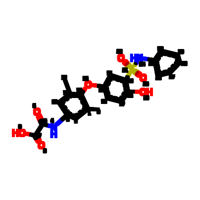 Cc1cc(NC(=O)C(=O)O)cc(C)c1Oc1ccc(O)c(S(=O)(=O)Nc2ccccc2)c1